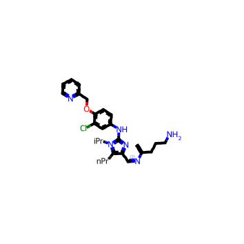 C=C(CCCN)/N=C\c1nc(Nc2ccc(OCc3ccccn3)c(Cl)c2)n(C(C)C)c1CCC